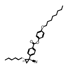 CCCCCCCCOc1ccc(OC(=O)c2ccc([C@]3(C#N)C[C@@H]3CCCCCC)cc2)cc1